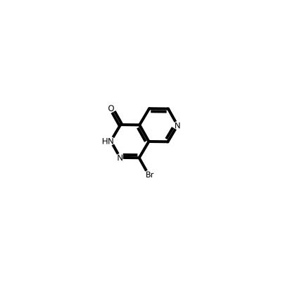 O=c1[nH]nc(Br)c2cnccc12